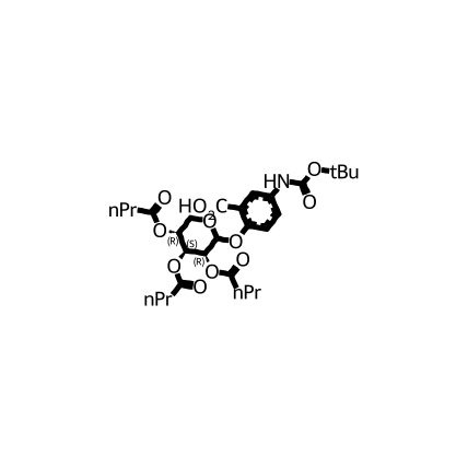 CCCC(=O)O[C@H]1[C@H](OC(=O)CCC)COC(Oc2ccc(NC(=O)OC(C)(C)C)cc2C(=O)O)[C@@H]1OC(=O)CCC